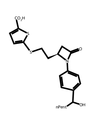 CCCCCC(O)c1ccc(N2C(=O)C[C@@H]2CCSc2ccc(C(=O)O)s2)cc1